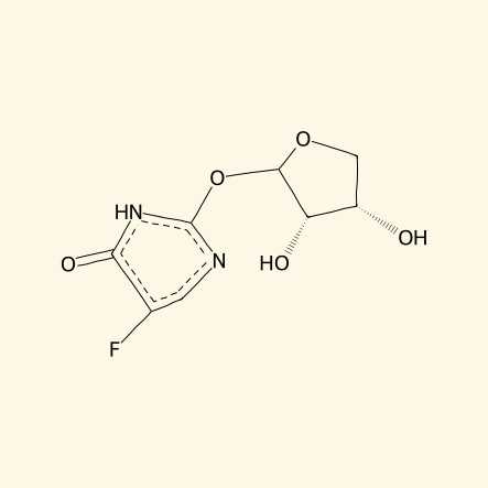 O=c1[nH]c(OC2OC[C@H](O)[C@@H]2O)ncc1F